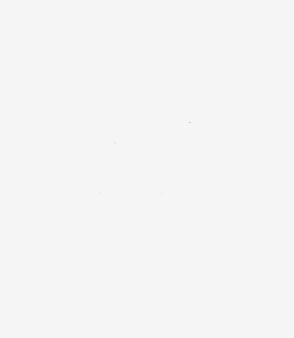 CCC(C(=O)[O-])C(=O)[O-].[K+].[K+]